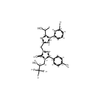 CC(O)c1nc(Cn2nc(-c3ccc(Cl)cc3)n(CC(O)C(F)(F)F)c2=O)nn1-c1cccc(F)n1